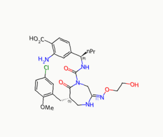 CCC[C@@H](NC(=O)N1C/C(=N\OCCO)NC[C@H](Cc2cc(Cl)ccc2OC)C1=O)c1ccc(C(=O)O)c(N)c1